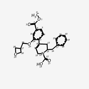 COC(=O)c1ccc(C2=CCN(C(=O)O)C(Cc3ccccc3)C2)c(OCC2COC2)c1